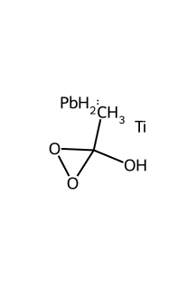 CC1(O)OO1.[PbH2].[Ti]